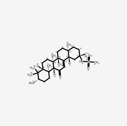 CC(=O)O[C@H]1CC[C@]2(C)[C@H]3C(=O)C=C4[C@H]5C[C@@](C)(NS(C)(=O)=O)CC[C@]5(C)CC[C@@]4(C)[C@]3(C)CC[C@H]2C1(C)C